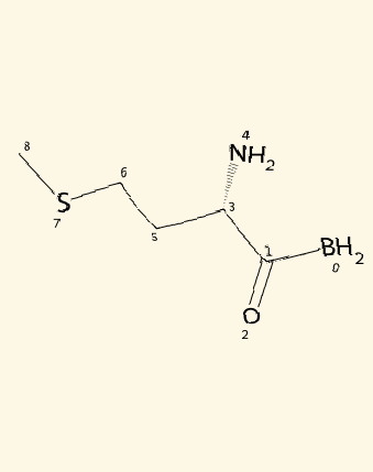 BC(=O)[C@@H](N)CCSC